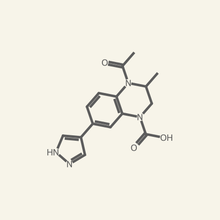 CC(=O)N1c2ccc(-c3cn[nH]c3)cc2N(C(=O)O)CC1C